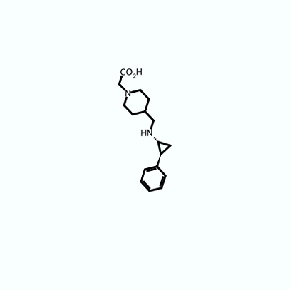 O=C(O)CN1CCC(CN[C@@H]2C[C@H]2c2ccccc2)CC1